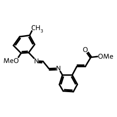 COC(=O)/C=C/c1ccccc1N=CC=Nc1cc(C)ccc1OC